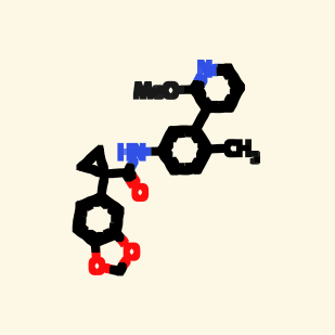 COc1ncccc1-c1cc(NC(=O)C2(c3ccc4c(c3)OCO4)CC2)ccc1C